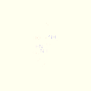 CCSCC[C@@H](N)C(O)C(=O)NNC(=O)c1ccc(C(C)C)cc1